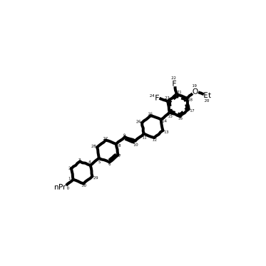 CCCC1CCC(C2C=CC(/C=C/C3CCC(c4ccc(OCC)c(F)c4F)CC3)CC2)CC1